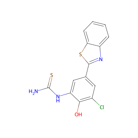 NC(=S)Nc1cc(-c2nc3ccccc3s2)cc(Cl)c1O